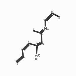 C=C\C=C/C(=C\C(C)=N\C=C/C)C(C)=O